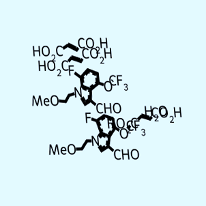 COCCn1cc(C=O)c2c(OC(F)(F)F)ccc(F)c21.COCCn1cc(C=O)c2c(OC(F)(F)F)ccc(F)c21.O.O=C(O)C=CC(=O)O.O=C(O)C=CC(=O)O.O=C(O)C=CC(=O)O